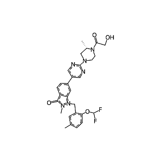 Cc1ccc(OC(F)F)c(Cn2c3cc(-c4cnc(N5CCN(C(=O)CO)[C@@H](C)C5)nc4)ccc3c(=O)n2C)c1